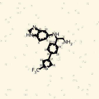 NCC(Nc1ccc2[nH]cnc2c1)c1ccc(-c2csc(C(F)(F)F)c2)cc1